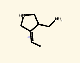 NCC1CNC/C1=C/I